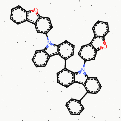 c1ccc(-c2cccc3c2c2cccc(-c4cccc5c4c4ccccc4n5-c4ccc5oc6ccccc6c5c4)c2n3-c2ccc3c(c2)oc2ccccc23)cc1